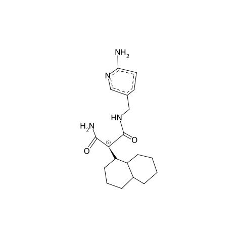 NC(=O)[C@@H](C(=O)NCc1ccc(N)nc1)C1CCCC2CCCCC21